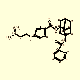 CN(C)CCOc1ccc(C(=O)NC23CC4CC(C2)CC(NC(=O)c2ccccn2)(C4)C3)cc1